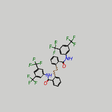 O=C(Nc1cc(C(F)(F)F)cc(C(F)(F)F)c1)c1ccccc1SSc1ccccc1C(=O)Nc1cc(C(F)(F)F)cc(C(F)(F)F)c1